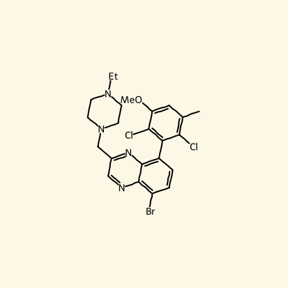 CCN1CCN(Cc2cnc3c(Br)ccc(-c4c(Cl)c(C)cc(OC)c4Cl)c3n2)CC1